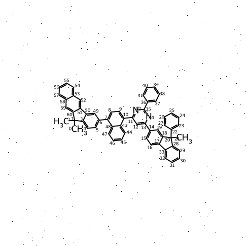 CC1(C)c2ccc(-c3ccc(-c4cc(-c5ccc6c(c5)C(C)(c5ccccc5)c5ccccc5-6)nc(-c5ccccc5)n4)c4ccccc34)cc2-c2cc3ccccc3cc21